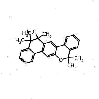 CC1(C)Oc2cc3c(cc2-c2ccccc21)C(C)(C)C(C)(C)c1ccccc1-3